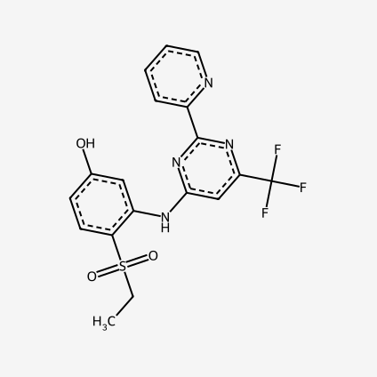 CCS(=O)(=O)c1ccc(O)cc1Nc1cc(C(F)(F)F)nc(-c2ccccn2)n1